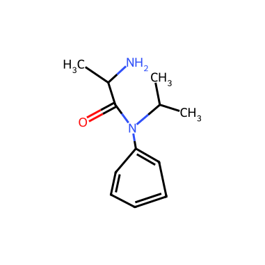 CC(N)C(=O)N(c1ccccc1)C(C)C